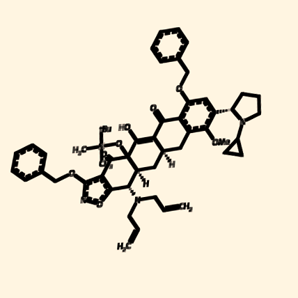 C=CCN(CC=C)[C@@H]1c2onc(OCc3ccccc3)c2C(=O)C2(O[Si](C)(C)C(C)(C)C)C(O)=C3C(=O)c4c(OCc5ccccc5)cc([C@@H]5CCCN5C5CC5)c(OC)c4C[C@H]3C[C@@H]12